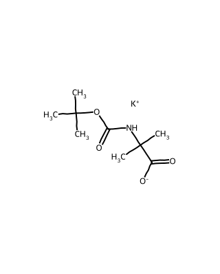 CC(C)(C)OC(=O)NC(C)(C)C(=O)[O-].[K+]